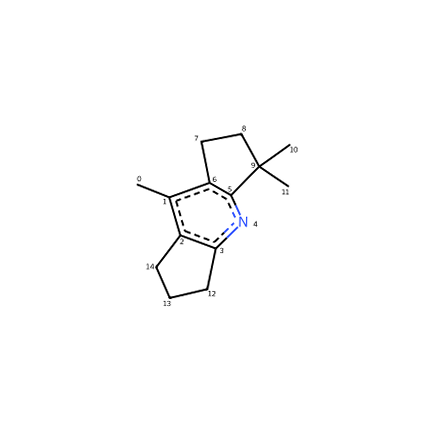 Cc1c2c(nc3c1CCC3(C)C)CCC2